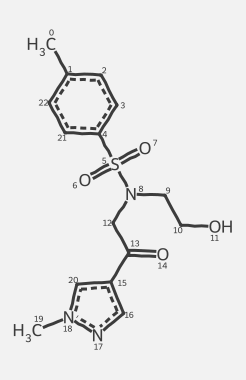 Cc1ccc(S(=O)(=O)N(CCO)CC(=O)c2cnn(C)c2)cc1